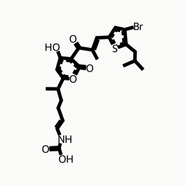 C/C(=C\c1cc(Br)c(CC(C)C)s1)C(=O)c1c(O)cc(C(C)CC/C=C/NC(=O)O)oc1=O